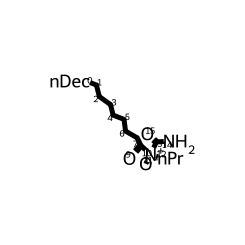 CCCCCCCCCCCCCCCCCC(=O)[N+]([O-])(CCC)C(N)=O